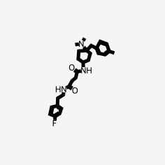 Cc1ccc(CC2(N(C)C)CCC(NC(=O)CCC(=O)NCCc3ccc(F)cc3)CC2)cc1